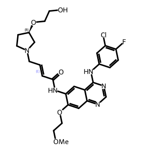 COCCOc1cc2ncnc(Nc3ccc(F)c(Cl)c3)c2cc1NC(=O)/C=C/CN1CC[C@@H](OCCO)C1